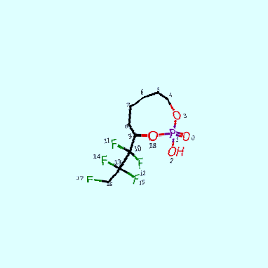 O=P1(O)OCCCCCC(C(F)(F)C(F)(F)CF)O1